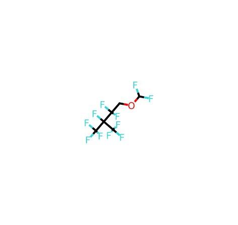 FC(F)OCC(F)(F)C(F)(C(F)(F)F)C(F)(F)F